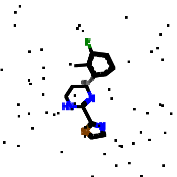 Cc1c(F)cccc1[C@H]1CCNC(c2nccs2)=N1